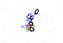 Nc1ncnc2c1c(-c1ccc(C3(S(N)(=O)=O)C=CC=CC3Cl)c(F)c1)cn2C1CCCC1